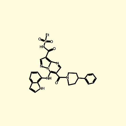 CCS(=O)(=O)NC(=O)c1cnn2c(Nc3cccc4cc[nH]c34)c(C(=O)N3CCC(c4ccccc4)CC3)cnc12